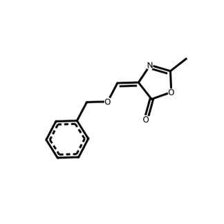 CC1=NC(=COCc2ccccc2)C(=O)O1